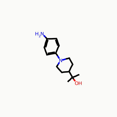 CC(C)(O)C1CCN(c2ccc(N)cc2)CC1